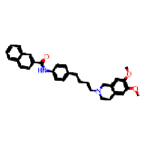 COc1cc2c(cc1OC)CN(CCCCc1ccc(NC(=O)c3ccc4ccccc4c3)cc1)CC2